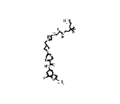 Cc1cn2cc(NC(=O)c3cnc(N4CC(CN5CC(OCC(=O)NCCC6(CCN)N=N6)C5)C4)cn3)cc(F)c2n1